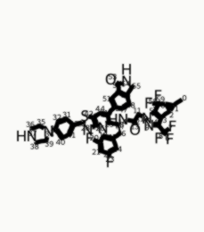 CC1C2c3c(C(F)(F)F)nn(CC(=O)N[C@@H](Cc4cc(F)cc(F)c4)c4nc5nc(-c6ccc(N7CCNCC7)cc6)sc5cc4-c4ccc5c(c4)C(=O)NC5)c3C(F)(F)C12